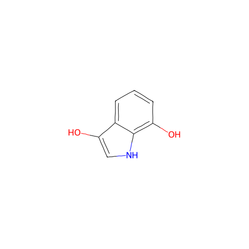 Oc1c[nH]c2c(O)cccc12